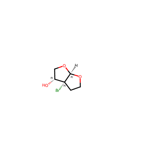 O[C@@H]1CO[C@H]2OCC[C@]21Br